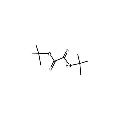 CC(C)(C)NC(=O)C(=O)OC(C)(C)C